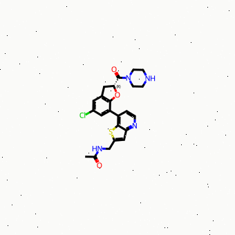 CC(=O)NCc1cc2nccc(-c3cc(Cl)cc4c3O[C@@H](C(=O)N3CCNCC3)C4)c2s1